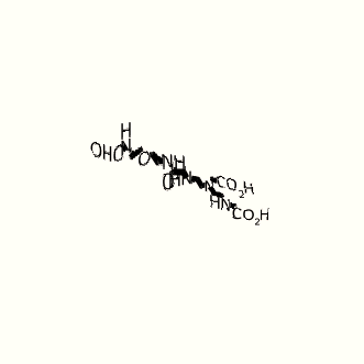 O=CNCCOCCNC(=O)CNCCN(CCNCC(=O)O)CC(=O)O